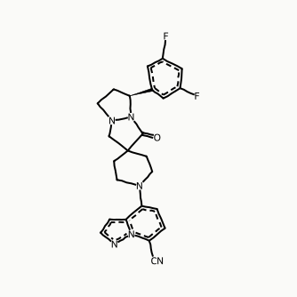 N#Cc1ccc(N2CCC3(CC2)CN2CC[C@@H](c4cc(F)cc(F)c4)N2C3=O)c2ccnn12